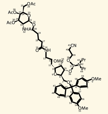 COc1ccc(C(OC[C@H]2O[C@H](CCCNC(=O)CCCCO[C@@H]3O[C@H](COC(C)=O)[C@H](OC(C)=O)[C@H](OC(C)=O)[C@H]3NC(C)=O)[C@H](OC)[C@@H]2OP(OCCC#N)N(C(C)C)C(C)C)(c2ccccc2)c2ccc(OC)cc2)cc1